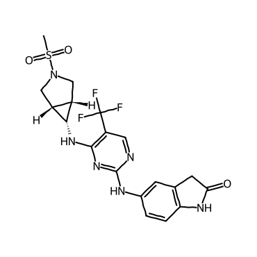 CS(=O)(=O)N1C[C@@H]2[C@H](C1)[C@@H]2Nc1nc(Nc2ccc3c(c2)CC(=O)N3)ncc1C(F)(F)F